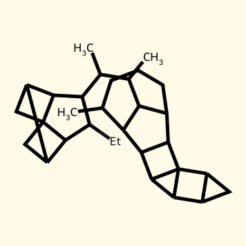 CCC1C(C(C)C(C)C2C3CCCC(C)C2C2C3C34C5CC5C3C24)C2C3CC24CC3C14